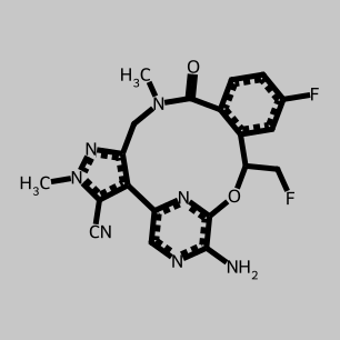 CN1Cc2nn(C)c(C#N)c2-c2cnc(N)c(n2)OC(CF)c2cc(F)ccc2C1=O